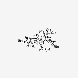 CC(C)(C)OC(=O)NC[C@H]1O[C@H](O[C@H]2[C@H](O)[C@@H](O[C@H]3O[C@H](CO)[C@@H](O)[C@H](NC(=O)OC(C)(C)C)[C@H]3O)[C@H](NC(=O)O)C[C@@H]2NC(=O)O)[C@H](O)[C@@H](O)[C@@H]1O